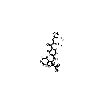 C/C(=C\N(C)C)C(=O)c1ccc(Nc2c(C(=O)O)sc3cnccc23)cc1